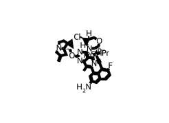 C=C1CN2CCC3(CC3)[C@@]2(COc2nc(N3CCOC[C@H]4[C@H](Cl)[C@H]43)c3cnc(-c4cc(N)cc5ccc(F)c(C#C[Si](C(C)C)(C(C)C)C(C)C)c45)c(C)c3n2)C1